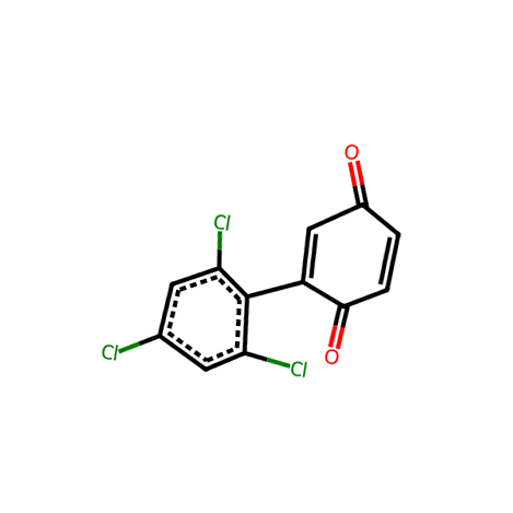 O=C1C=CC(=O)C(c2c(Cl)cc(Cl)cc2Cl)=C1